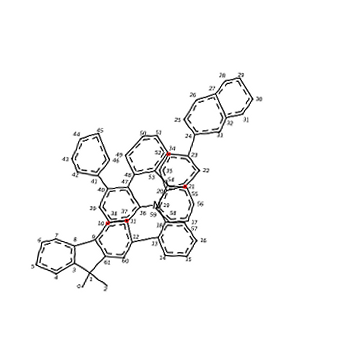 CC1(C)c2ccccc2-c2ccc(-c3ccccc3N(c3ccc(-c4ccc5ccccc5c4)cc3)c3cccc(-c4ccccc4)c3-c3ccccc3-c3ccccc3)cc21